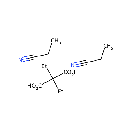 CCC#N.CCC#N.CCC(CC)(C(=O)O)C(=O)O